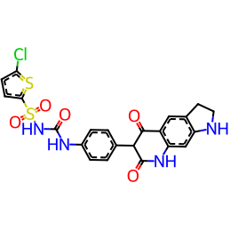 O=C(Nc1ccc(C2C(=O)Nc3cc4c(cc3C2=O)CCN4)cc1)NS(=O)(=O)c1ccc(Cl)s1